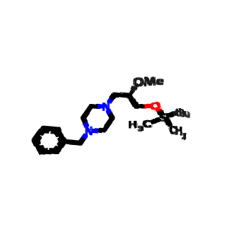 CO[C@@H](CO[Si](C)(C)C(C)(C)C)CN1CCN(Cc2ccccc2)CC1